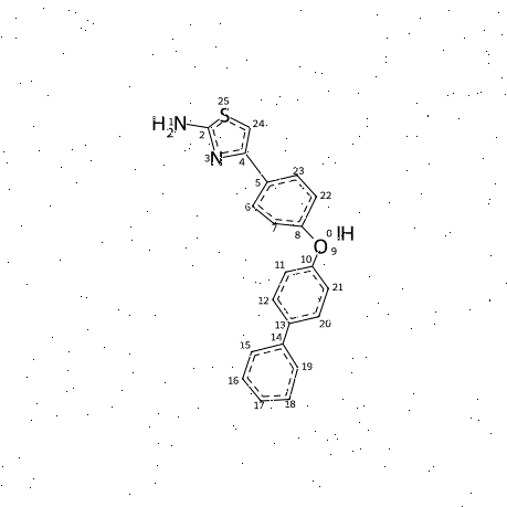 I.Nc1nc(-c2ccc(Oc3ccc(-c4ccccc4)cc3)cc2)cs1